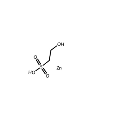 O=S(=O)(O)CCO.[Zn]